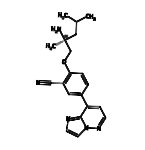 CC(C)C[C@](C)(N)COc1ccc(-c2ccnn3ccnc23)cc1C#N